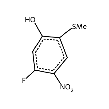 CSc1cc([N+](=O)[O-])c(F)cc1O